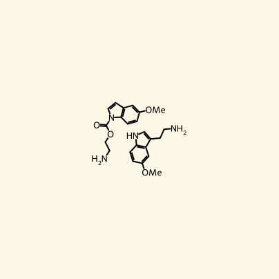 COc1ccc2[nH]cc(CCN)c2c1.COc1ccc2c(ccn2C(=O)OCCN)c1